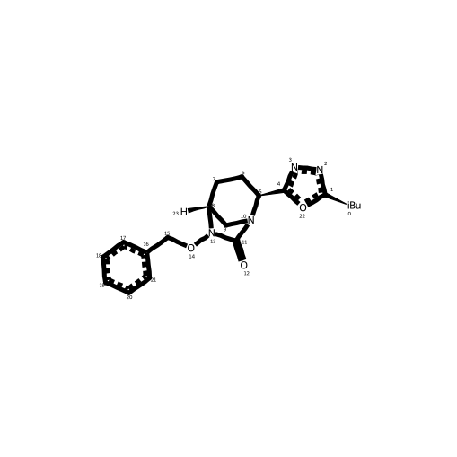 CC[C@H](C)c1nnc([C@@H]2CC[C@@H]3CN2C(=O)N3OCc2ccccc2)o1